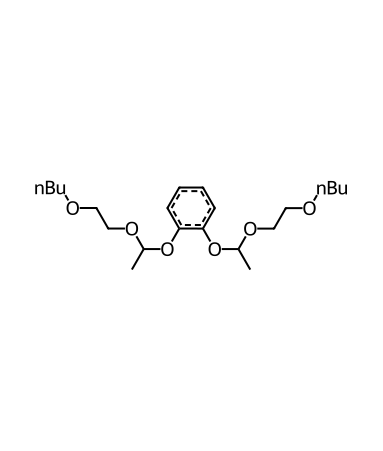 CCCCOCCOC(C)Oc1ccccc1OC(C)OCCOCCCC